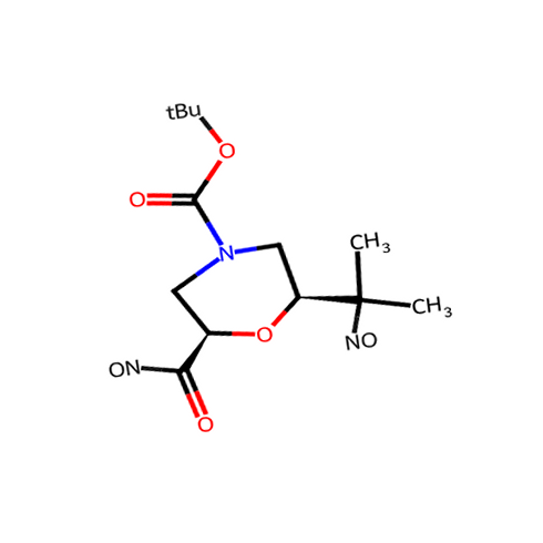 CC(C)(C)OC(=O)N1C[C@@H](C(C)(C)N=O)O[C@@H](C(=O)N=O)C1